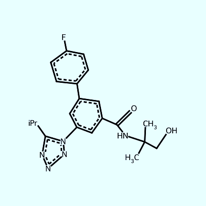 CC(C)c1nnnn1-c1cc(C(=O)NC(C)(C)CO)cc(-c2ccc(F)cc2)c1